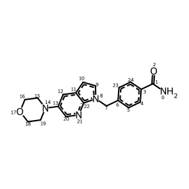 NC(=O)c1ccc(Cn2ccc3cc(N4CCOCC4)cnc32)cc1